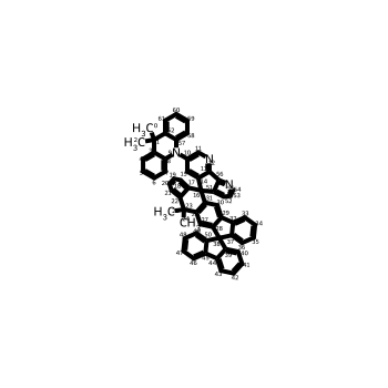 CC1(C)c2ccccc2N(c2cnc3c(c2)C2(c4ccccc4C(C)(C)c4cc5c(cc42)-c2ccccc2C52c4ccccc4-c4ccccc42)c2cccnc2-3)c2ccccc21